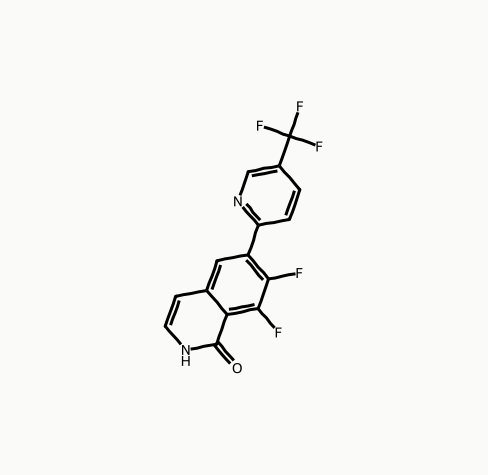 O=c1[nH]ccc2cc(-c3ccc(C(F)(F)F)cn3)c(F)c(F)c12